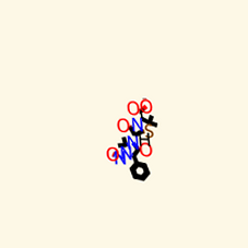 COC(=O)[C@@H]1N2C(=O)C(N3C(=O)C(c4ccccc4)N(N=O)C3(C)C)[C@H]2SC1(C)C